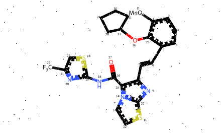 COc1cccc(C=Cc2nc3sccn3c2C(=O)Nc2nc(C(F)(F)F)cs2)c1OC1CCCC1